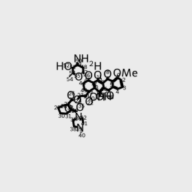 COc1cccc2c1C(=O)c1c(O)c3c(c(O)c1C2=O)[C@@](O)(C(=O)COC(=O)C1C2CCC(O2)C1C(=O)N1CCN(C)CC1)CC[C@@H]3O[C@H]1CC(N)[C@H](O)[C@H](C)O1